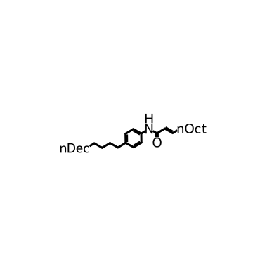 CCCCCCCCC=CC(=O)Nc1ccc(CCCCCCCCCCCCCC)cc1